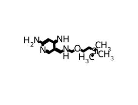 C[Si](C)(C)CCOCN/C=C1/C=NC(N)=CC1=N